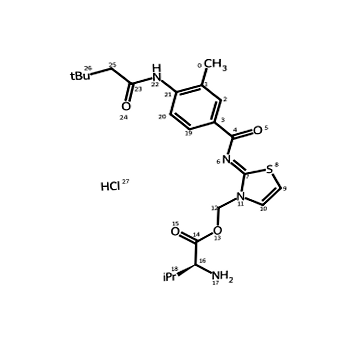 Cc1cc(C(=O)/N=c2\sccn2COC(=O)[C@@H](N)C(C)C)ccc1NC(=O)CC(C)(C)C.Cl